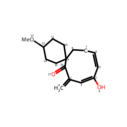 C=C1/C=C(O)\C=C/CCC2(CCC(OC)CC2)C1=O